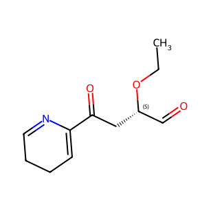 CCO[C@H](C=O)CC(=O)C1=CCCC=N1